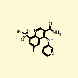 Cc1cc(S(=O)(=O)C(C)C)c2ncc(C(N)=O)c(Nc3cccnc3)c2c1